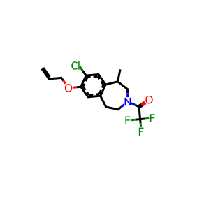 C=CCOc1cc2c(cc1Cl)C(C)CN(C(=O)C(F)(F)F)CC2